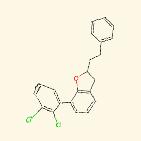 Clc1cccc(-c2cccc3c2OC(CCc2ccccc2)C3)c1Cl